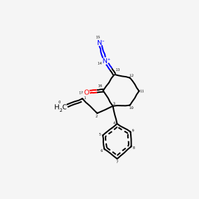 C=CCC1(c2ccccc2)CCCC(=[N+]=[N-])C1=O